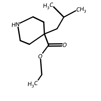 CCOC(=O)C1(CC(C)C)CCNCC1